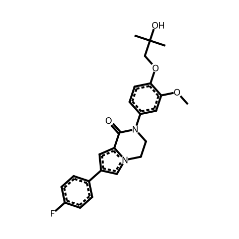 COc1cc(N2CCn3cc(-c4ccc(F)cc4)cc3C2=O)ccc1OCC(C)(C)O